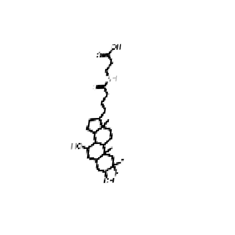 CC12CCC3C(C(O)CC4CC(O)C(F)(F)CC43C)C1CCC2CCCC(=O)NCCC(=O)O